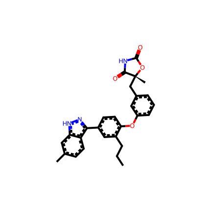 CCCc1cc(-c2n[nH]c3cc(C)ccc23)ccc1Oc1cccc(C[C@@]2(C)OC(=O)NC2=O)c1